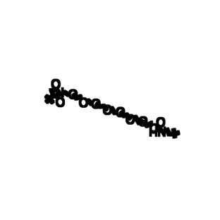 CC(C)(C)CCNC(=O)OCCOCCOCCOCCOCCOCCOCCOCCN1C(=O)CC(C(C)(C)C)C1=O